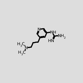 CN(C)CCCc1cncc(NC(=N)N)c1